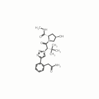 CNC(=O)[C@@H]1C[C@@H](O)CN1C(=O)[C@@H](n1cc(-c2ccccc2CC(N)=O)nn1)C(C)(C)C